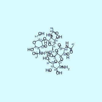 CC(=O)N[C@H]1C(O)O[C@H](CO)[C@@H](O[C@@H]2O[C@H](CO)[C@@H](O[C@@H]3O[C@H](CO)[C@@H](O[C@@H]4O[C@H](CO)[C@@H](O)C(O)[C@@H]4N)C(O)[C@H]3NC(C)=O)C(O)[C@@H]2NC(C)=O)C1O